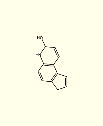 OC1C=Cc2c(ccc3c2C=CC3)N1